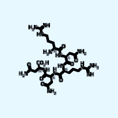 N=C(N)NCCC[C@H](NC(=O)[C@H](CC(N)=O)NC(=O)[C@@H](N)CCCNC(=N)N)C(=O)N[C@@H](CC(N)=O)C(=O)N[C@@H](CC(N)=O)C(=O)O